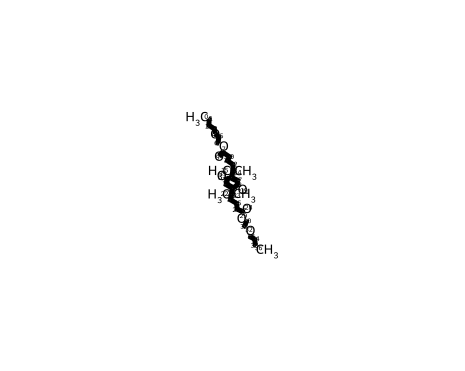 CCCCOCCOC(=O)CCCC(C)(C)C1=CC(=O)C(C(C)(C)CCCC(=O)OCCOCCCC)=CC1=O